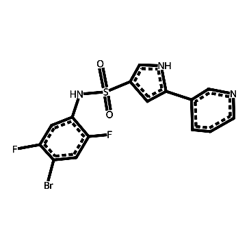 O=S(=O)(Nc1cc(F)c(Br)cc1F)c1c[nH]c(-c2cccnc2)c1